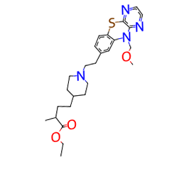 CCOC(=O)C(C)CCC1CCN(CCc2ccc3c(c2)N(COC)c2nccnc2S3)CC1